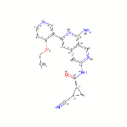 CCOc1ccncc1-c1cc2cc(NC(=O)C3CC3C#N)ncc2c(N)n1